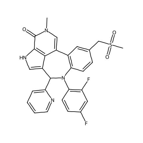 Cn1cc2c3c(c[nH]c3c1=O)C(c1ccccn1)N(c1ccc(F)cc1F)c1ccc(CS(C)(=O)=O)cc1-2